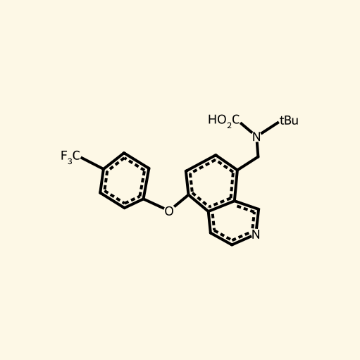 CC(C)(C)N(Cc1ccc(Oc2ccc(C(F)(F)F)cc2)c2ccncc12)C(=O)O